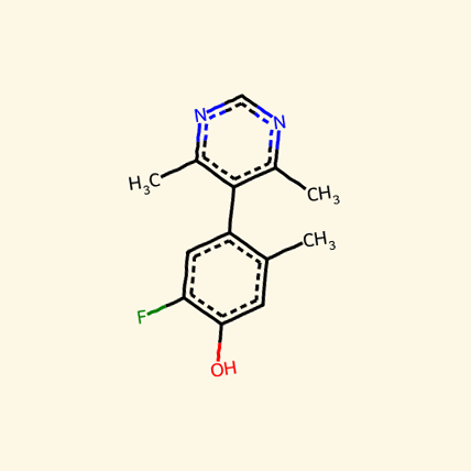 Cc1cc(O)c(F)cc1-c1c(C)ncnc1C